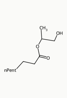 CCCCCCCC(=O)OC(C)CO